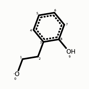 [O]CCc1ccccc1O